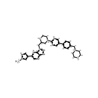 Cn1cc(-c2cnc3nnn(CC4CN(c5ncc(-c6ccc(CN7CCOCC7)cc6)cn5)CCO4)c3n2)cn1